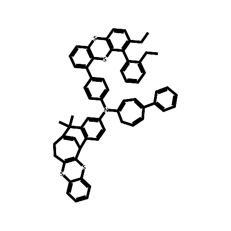 CCc1ccccc1-c1c(CC)ccc2c1Sc1c(cccc1-c1ccc(N(C3=CC=C(c4ccccc4)C=CC3)c3ccc4c(c3)C(C)(C)C3=CC4C4=C(CC3)Sc3ccccc3S4)cc1)S2